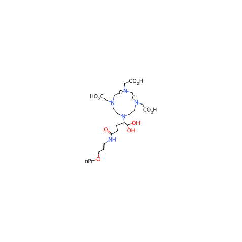 CCCOCCCNC(=O)CCC(C(O)O)N1CCN(CC(=O)O)CCN(CC(=O)O)CCN(CC(=O)O)CC1